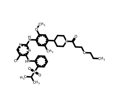 CCCOCCC(=O)N1CCC(c2cc(OC)c(Nc3ncc(Cl)c(Nc4ccccc4S(=O)(=O)C(C)C)n3)cc2C)CC1